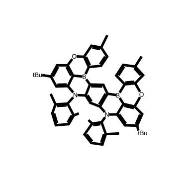 Cc1ccc2c(c1)Oc1cc(C(C)(C)C)cc3c1B2c1cc2c(cc1N3c1c(C)cccc1C)N(c1c(C)cccc1C)c1cc(C(C)(C)C)cc3c1B2c1ccc(C)cc1O3